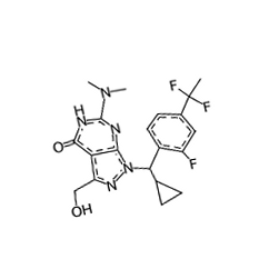 CN(C)c1nc2c(c(CO)nn2C(c2ccc(C(C)(F)F)cc2F)C2CC2)c(=O)[nH]1